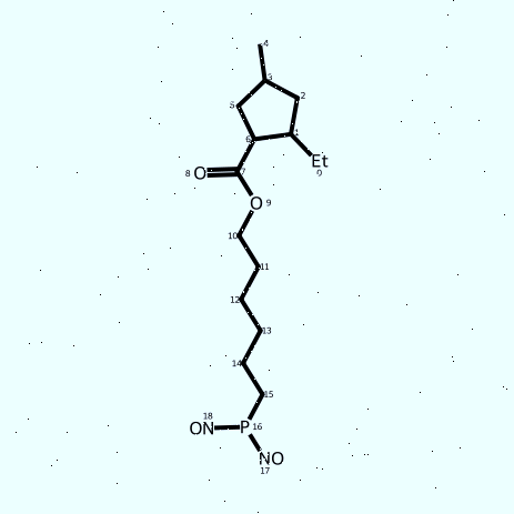 CCC1CC(C)CC1C(=O)OCCCCCCP(N=O)N=O